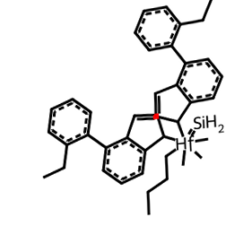 CCC[CH2][Hf]([CH3])([CH3])([CH3])(=[SiH2])([CH]1C=Cc2c(-c3ccccc3CC)cccc21)[CH]1C=Cc2c(-c3ccccc3CC)cccc21